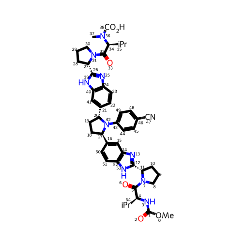 COC(=O)N[C@H](C(=O)N1CCC[C@H]1c1nc2cc([C@H]3CC[C@H](c4ccc5nc([C@@H]6CCCN6C(=O)[C@H](C(C)C)N(C)C(=O)O)[nH]c5c4)N3c3ccc(C#N)cc3)ccc2[nH]1)C(C)C